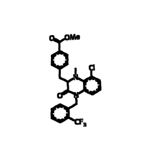 COC(=O)c1ccc(CC2C(=O)N(Cc3ccccc3C(F)(F)F)c3cccc(Cl)c3N2C)cc1